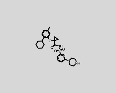 Cc1ccc(C2CCCCC2)c(OC2(C(=O)NS(=O)(=O)c3cccc(N4CCNCC4)n3)CC2)c1